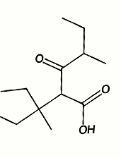 CCC(C)C(=O)C(C(=O)O)C(C)(CC)CC